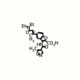 CCN(CC)C(=O)/C=C(\C)c1ccc2oc(C(=O)O)c(NC(=O)c3cnoc3C)c2c1